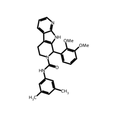 COc1cccc(C2c3[nH]c4ncccc4c3CCN2C(=O)Nc2cc(C)cc(C)c2)c1OC